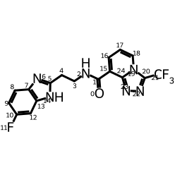 O=C(NCCc1nc2ccc(F)cc2[nH]1)c1cccn2c(C(F)(F)F)nnc12